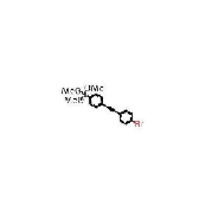 CO[Si](OC)(OC)c1ccc(C#Cc2ccc(Br)cc2)cc1